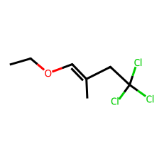 CCO/C=C(\C)CC(Cl)(Cl)Cl